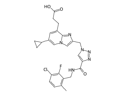 Cc1ccc(Cl)c(F)c1CNC(=O)c1cn(Cc2cn3cc(C4CC4)cc(CCC(=O)O)c3n2)nn1